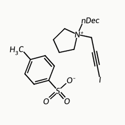 CCCCCCCCCC[N+]1(CC#CI)CCCC1.Cc1ccc(S(=O)(=O)[O-])cc1